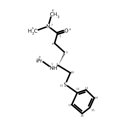 CC(C)N[C@H](CCC(=O)N(C)C)CSc1ccccc1